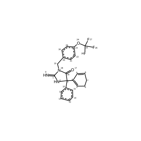 N=C1NC(C2=CCCC=C2)(c2ccccc2)C(=O)N1Cc1ccc(OC(F)(F)F)cc1